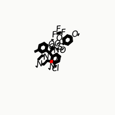 COc1ccc(S(=O)(=O)N2C(=O)C(c3cc(C)ccc3OC)(N3CCN(C)CC3C(=O)N(C)C)c3cc(Cl)ccc32)c(OC(F)(F)F)c1